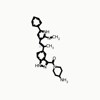 C=Nc1[nH]c(-c2ccccc2)cc1/C=C(\C)c1ccc2[nH]nc(C(=O)N3CCC(N)CC3)c2c1